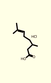 CC(C)=CCCC(C)CC(=O)O.Cl